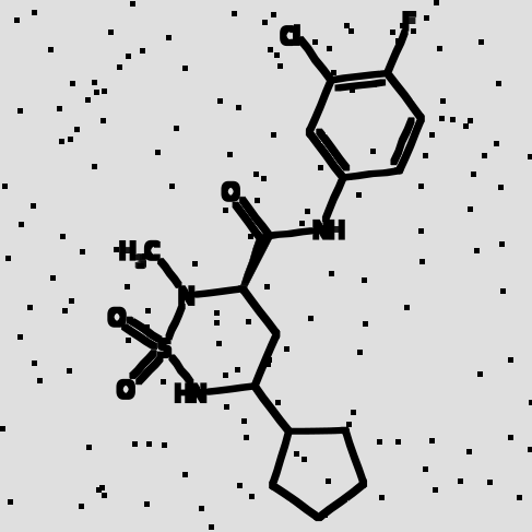 CN1[C@@H](C(=O)Nc2ccc(F)c(Cl)c2)CC(C2CCCC2)NS1(=O)=O